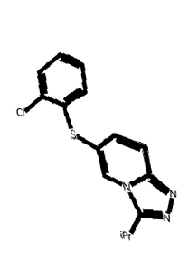 CC(C)c1nnc2ccc(Sc3ccccc3Cl)cn12